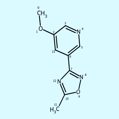 COc1cncc(-c2noc(C)n2)c1